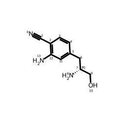 N#Cc1ccc(C[C@@H](N)CO)cc1N